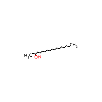 CCCCCCCCCCCCCC[CH]C(O)CC